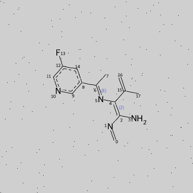 C=N/C(N)=C(\N=C(/C)c1cncc(F)c1)C(=C)C